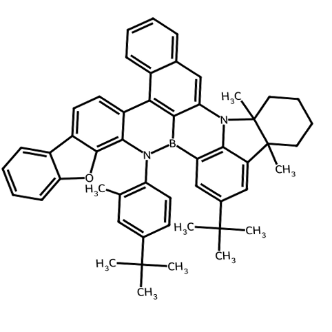 Cc1cc(C(C)(C)C)ccc1N1B2c3cc(C(C)(C)C)cc4c3N(c3cc5ccccc5c(c32)-c2ccc3c(oc5ccccc53)c21)C1(C)CCCCC41C